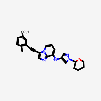 Cc1ccc(C(=O)O)cc1C#Cc1cnc2c(Nc3cnn(C4CCCCO4)c3)cccn12